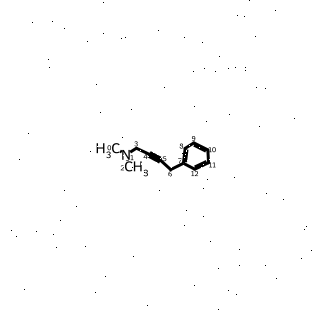 CN(C)CC#CCc1ccccc1